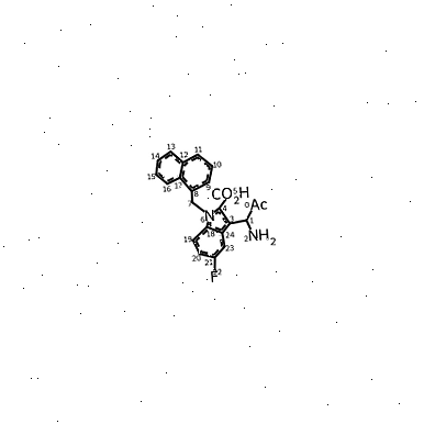 CC(=O)C(N)c1c(C(=O)O)n(Cc2cccc3ccccc23)c2ccc(F)cc12